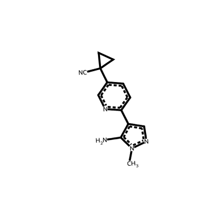 Cn1ncc(-c2ccc(C3(C#N)CC3)cn2)c1N